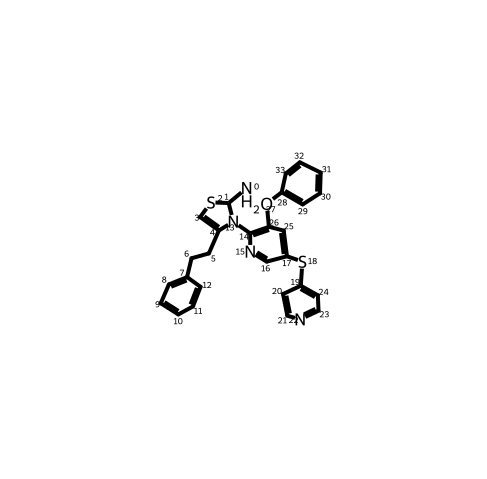 NC1SC=C(CCc2ccccc2)N1c1ncc(Sc2ccncc2)cc1Oc1ccccc1